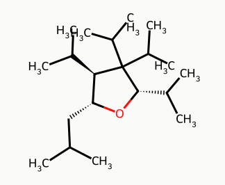 CC(C)C[C@H]1O[C@@H](C(C)C)C(C(C)C)(C(C)C)[C@@H]1C(C)C